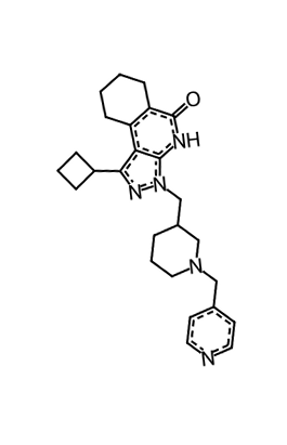 O=c1[nH]c2c(c(C3CCC3)nn2CC2CCCN(Cc3ccncc3)C2)c2c1CCCC2